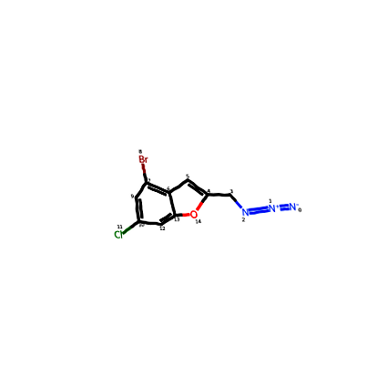 [N-]=[N+]=NCc1cc2c(Br)cc(Cl)cc2o1